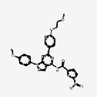 COCCOc1ccc(-c2nc(NC(=O)c3ccc([N+](=O)[O-])s3)c3cnn(-c4ccc(OC)cc4)c3n2)cn1